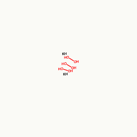 OO.OO.OO.[KH].[KH]